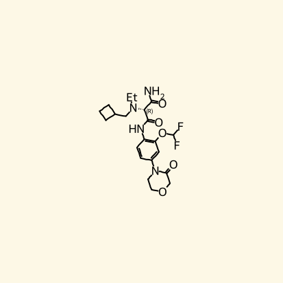 CCN(CC1CCC1)[C@H](C(N)=O)C(=O)Nc1ccc(N2CCOCC2=O)cc1OC(F)F